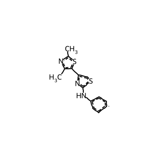 Cc1nc(C)c(-c2csc(Nc3cc[c]cc3)n2)s1